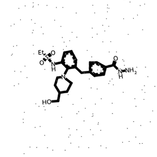 CCS(=O)(=O)Nc1cccc(Cc2ccc(C(=O)NN)cc2)c1N1CCC(CO)CC1